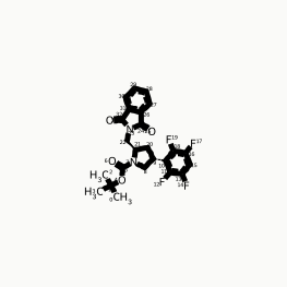 CC(C)(C)OC(=O)N1C[C@@H](c2c(F)c(F)cc(F)c2F)C[C@@H]1CN1C(=O)c2ccccc2C1=O